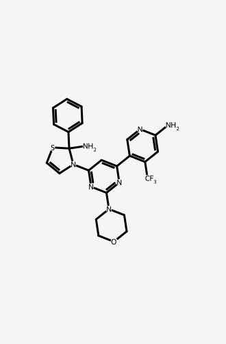 Nc1cc(C(F)(F)F)c(-c2cc(N3C=CSC3(N)c3ccccc3)nc(N3CCOCC3)n2)cn1